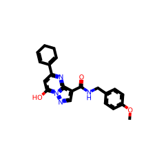 COc1ccc(CNC(=O)c2cnn3c(O)cc(C4=CCCC=C4)nc23)cc1